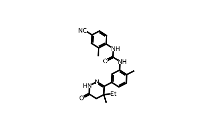 CCC1(C)CC(=O)NN=C1c1ccc(C)c(NC(=O)Nc2ccc(C#N)cc2C)c1